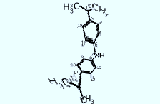 CC(C)c1ccc(Nc2ccc(C(C)C)cc2)cc1